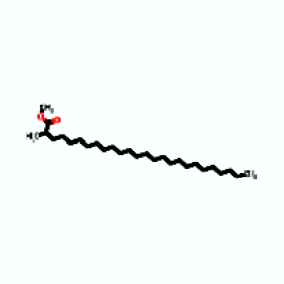 CCCCCCCCCCCCCCCCCCCCCCCCC(C)C(=O)OC